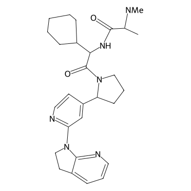 CNC(C)C(=O)NC(C(=O)N1CCCC1c1ccnc(N2CCc3cccnc32)c1)C1CCCCC1